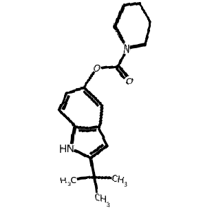 CC(C)(C)c1cc2cc(OC(=O)N3CCCCC3)ccc2[nH]1